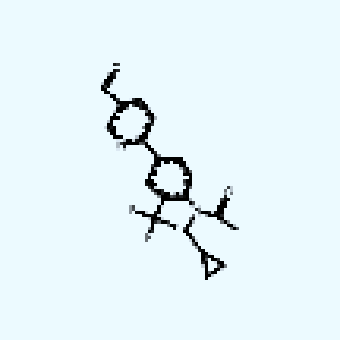 CC(=O)N(CC1CC1)c1ccc(-c2ccc(C=O)cn2)cc1C(F)(F)F